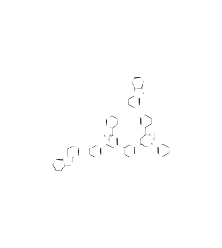 C1=CC2c3ccccc3CC2C=C1Oc1cccc(-c2cc(-c3cccc(-c4cc(-c5ccccc5)nc(-c5cccc(Oc6ccc7c(c6)Cc6ccccc6-7)c5)c4)c3)cc(-c3ccccc3)n2)c1